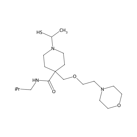 CC(C)CNC(=O)C1(COCCN2CCOCC2)CCN(C(C)S)CC1